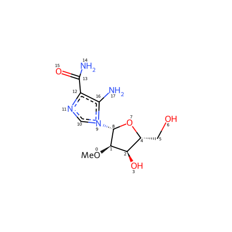 CO[C@@H]1[C@H](O)[C@@H](CO)O[C@H]1n1cnc(C(N)=O)c1N